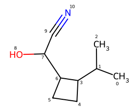 CC(C)C1CCC1C(O)C#N